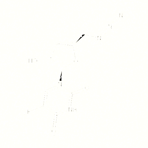 [N-]=[N+]=NC[C@@H]1C[C@@H](O)[C@H](n2cc(F)c(=O)[nH]c2=O)O1